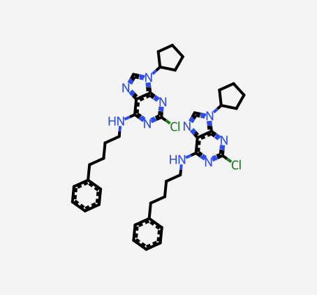 Clc1nc(NCCCCc2ccccc2)c2ncn(C3CCCC3)c2n1.Clc1nc(NCCCCc2ccccc2)c2ncn(C3CCCC3)c2n1